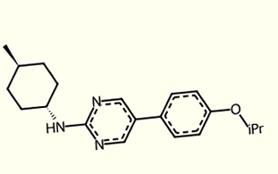 CC(C)Oc1ccc(-c2cnc(N[C@H]3CC[C@H](C)CC3)nc2)cc1